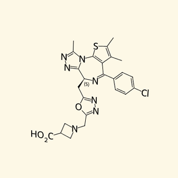 Cc1sc2c(c1C)C(c1ccc(Cl)cc1)=N[C@@H](Cc1nnc(CN3CC(C(=O)O)C3)o1)c1nnc(C)n1-2